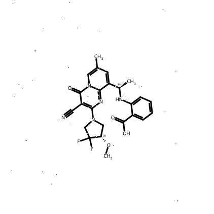 CO[C@H]1CN(c2nc3c([C@@H](C)Nc4ccccc4C(=O)O)cc(C)cn3c(=O)c2C#N)CC1(F)F